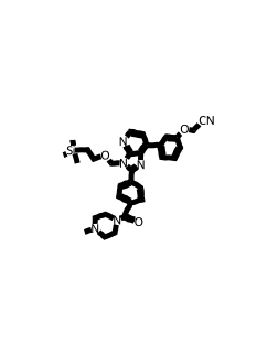 CN1CCN(C(=O)c2ccc(-c3nc4c(-c5cccc(OCC#N)c5)ccnc4n3COCC[Si](C)(C)C)cc2)CC1